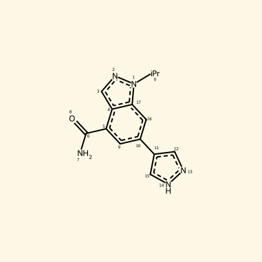 CC(C)n1ncc2c(C(N)=O)cc(-c3cn[nH]c3)cc21